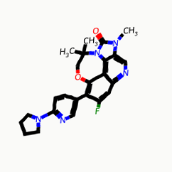 Cn1c(=O)n2c3c4c(c(-c5ccc(N6CCCC6)nc5)c(F)cc4ncc31)OCC2(C)C